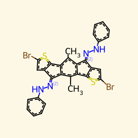 Cc1c2/c(=N/Nc3ccccc3)c3cc(Br)sc3c2c(C)c2/c(=N/Nc3ccccc3)c3cc(Br)sc3c12